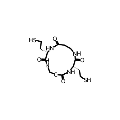 O=C1CCNC(=O)[C@H](CCS)NC(=O)CCNC(=O)[C@H](CCS)N1